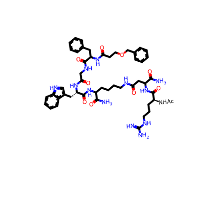 CC(=O)N[C@@H](CCCNC(=N)N)C(=O)NC(CC(=O)NCCCCC(NC(=O)[C@H](Cc1c[nH]c2ccccc12)NC(=O)CNC(=O)C(Cc1ccccc1)NC(=O)CCOCc1ccccc1)C(N)=O)C(N)=O